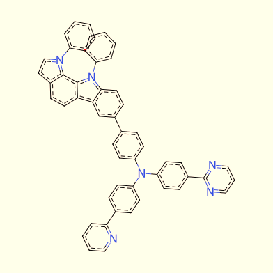 c1ccc(-n2ccc3ccc4c5cc(-c6ccc(N(c7ccc(-c8ccccn8)cc7)c7ccc(-c8ncccn8)cc7)cc6)ccc5n(-c5ccccc5)c4c32)cc1